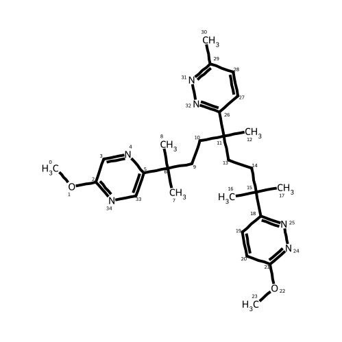 COc1cnc(C(C)(C)CCC(C)(CCC(C)(C)c2ccc(OC)nn2)c2ccc(C)nn2)cn1